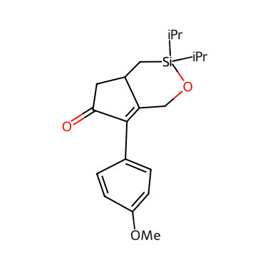 COc1ccc(C2=C3CO[Si](C(C)C)(C(C)C)CC3CC2=O)cc1